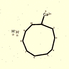 [Ga+2][CH]1CCCCCCCCC1.[H-].[H-]